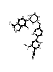 COc1cc(-c2ccc(CN3CCN[C@H](c4ccc5c(c4C)COC5=O)C3)cn2)ncc1C#N